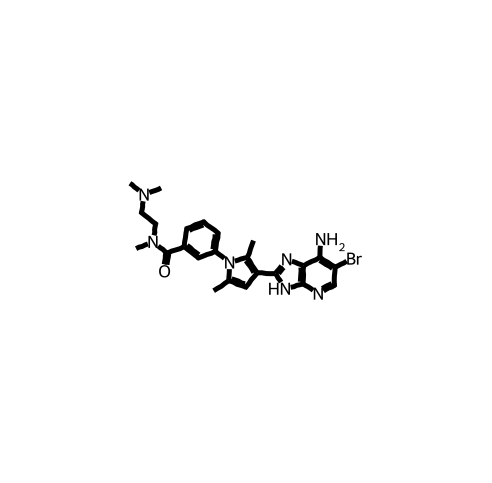 Cc1cc(-c2nc3c(N)c(Br)cnc3[nH]2)c(C)n1-c1cccc(C(=O)N(C)CCN(C)C)c1